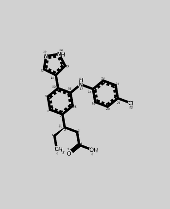 CC[C@H](CC(=O)O)c1ccc(-c2cn[nH]c2)c(Nc2ccc(Cl)cc2)c1